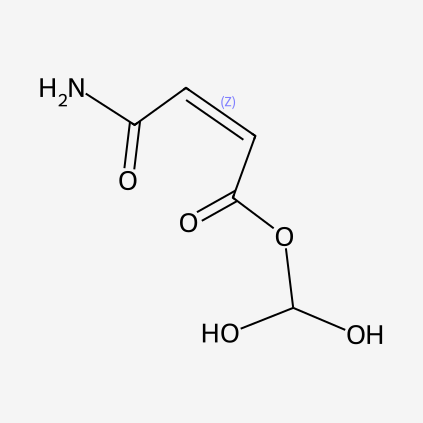 NC(=O)/C=C\C(=O)OC(O)O